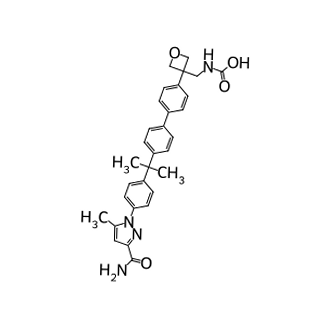 Cc1cc(C(N)=O)nn1-c1ccc(C(C)(C)c2ccc(-c3ccc(C4(CNC(=O)O)COC4)cc3)cc2)cc1